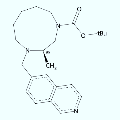 C[C@@H]1CN(C(=O)OC(C)(C)C)CCCCCN1Cc1ccc2cnccc2c1